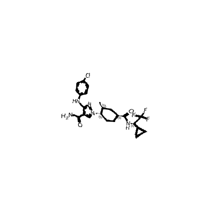 C[C@H]1C[C@@H](C(=O)N[C@@H](C2CC2)C(F)(F)F)CC[C@@H]1n1cc(C(N)=O)c(Nc2ccc(Cl)cc2)n1